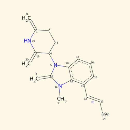 C=C1CCC(N2C(=C)N(C)c3c(/C=C/CCC)cccc32)C(=C)N1